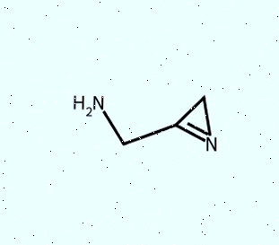 NCC1=NC1